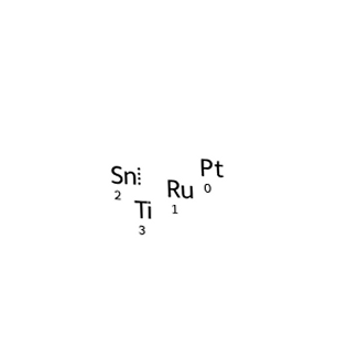 [Pt].[Ru].[Sn].[Ti]